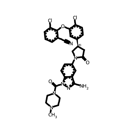 CN1CCN(C(=O)n2nc(N)c3cc(N4C[C@@H](c5ccc(Cl)c(Oc6c(Cl)cccc6C#N)c5)CC4=O)ccc32)CC1